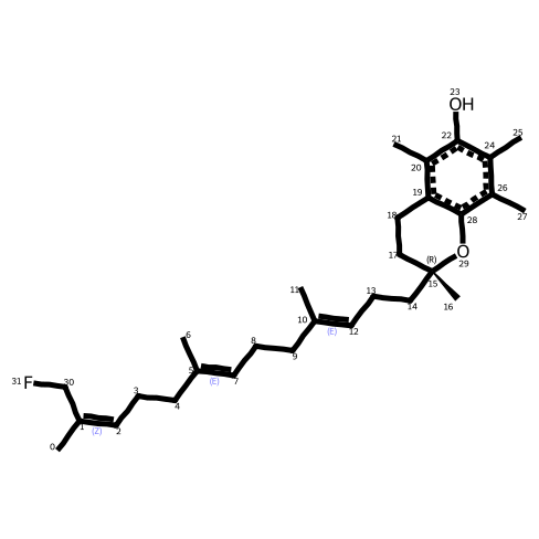 C/C(=C/CC/C(C)=C/CC/C(C)=C/CC[C@]1(C)CCc2c(C)c(O)c(C)c(C)c2O1)CF